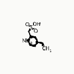 C=Cc1cccc(CS(=O)(=O)O)c1.N